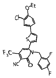 CCOc1ccc(-c2ccc(-c3cc(C(F)(F)F)c(C#N)c(=O)n3Cc3ccc(F)cc3F)s2)cc1Cl